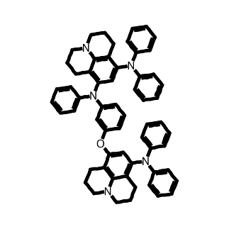 c1ccc(N(c2ccccc2)c2cc(Oc3cccc(N(c4ccccc4)c4cc(N(c5ccccc5)c5ccccc5)c5c6c4CCCN6CCC5)c3)c3c4c2CCCN4CCC3)cc1